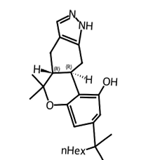 CCCCCCC(C)(C)c1cc(O)c2c(c1)OC(C)(C)[C@@H]1Cc3cn[nH]c3C[C@@H]21